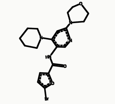 O=C(Nc1cnc(N2CCOCC2)cc1N1CCCCC1)c1ccc(Br)o1